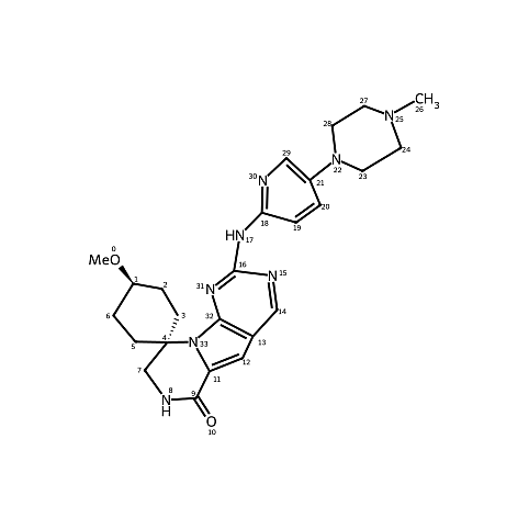 CO[C@H]1CC[C@@]2(CC1)CNC(=O)c1cc3cnc(Nc4ccc(N5CCN(C)CC5)cn4)nc3n12